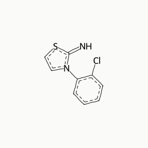 N=c1sccn1-c1ccccc1Cl